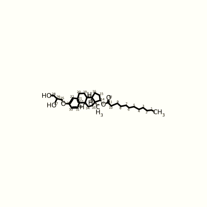 CCCCCCCCCCCC(=O)O[C@H]1CC[C@H]2[C@@H]3CCc4cc(OCC(O)CO)ccc4[C@H]3CC[C@]12C